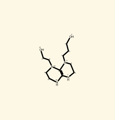 OCCCN1CCNC2=C1N(CCO)CCN2